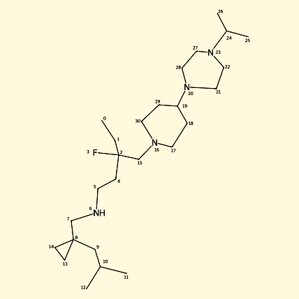 CCC(F)(CCNCC1(CC(C)C)CC1)CN1CCC(N2CCN(C(C)C)CC2)CC1